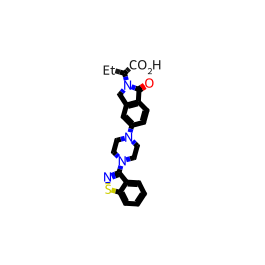 CCC(C(=O)O)N1Cc2cc(N3CCN(c4nsc5ccccc45)CC3)ccc2C1=O